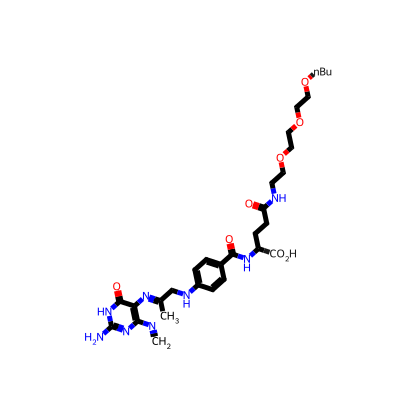 C=Nc1nc(N)[nH]c(=O)c1/N=C(\C)CNc1ccc(C(=O)NC(CCC(=O)NCCOCCOCCOCCCC)C(=O)O)cc1